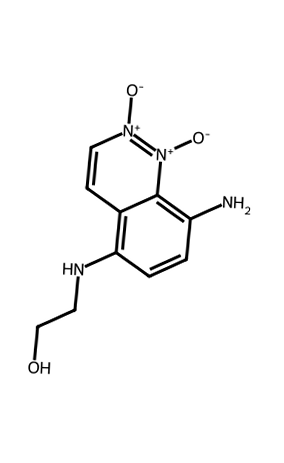 Nc1ccc(NCCO)c2cc[n+]([O-])[n+]([O-])c12